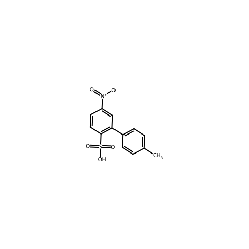 Cc1ccc(-c2cc([N+](=O)[O-])ccc2S(=O)(=O)O)cc1